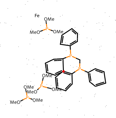 COP(OC)OC.COP(OC)OC.COP(OC)OC.[Fe].c1ccc(P(CP(c2ccccc2)c2ccccc2)c2ccccc2)cc1